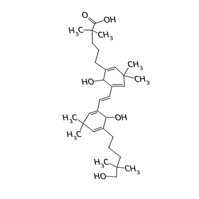 CC1(C)C=C(/C=C/C2=CC(C)(C)C=C(CCCC(C)(C)C(=O)O)C2O)C(O)C(CCCC(C)(C)CO)=C1